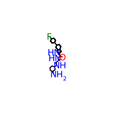 NC1CCCC(NCCNC(=O)c2cc3ccc(-c4ccc(F)cc4)cc3[nH]2)C1